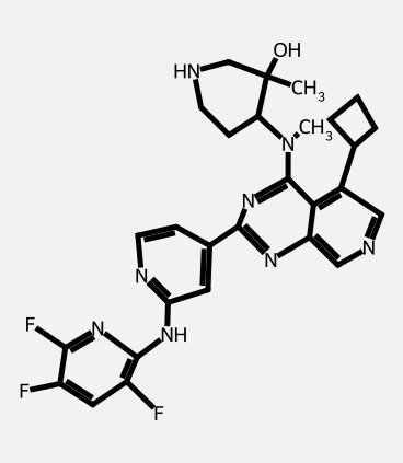 CN(c1nc(-c2ccnc(Nc3nc(F)c(F)cc3F)c2)nc2cncc(C3CCC3)c12)C1CCNCC1(C)O